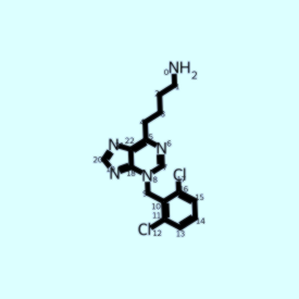 NCCCCc1ncn(Cc2c(Cl)cccc2Cl)c2ncnc1-2